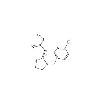 CCSC(=S)/N=C1\SCCN1Cc1ccc(Cl)nc1